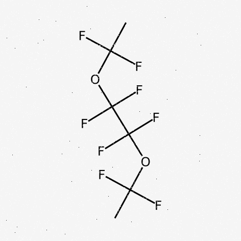 CC(F)(F)OC(F)(F)C(F)(F)OC(C)(F)F